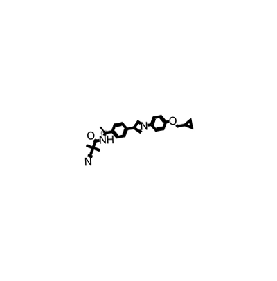 C[C@H](NC(=O)C(C)(C)C#N)c1ccc(C2CN(c3ccc(OCC4CC4)cc3)C2)cc1